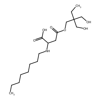 CCCCCCCCNC(CC(=O)OCC(CC)(CO)CO)C(=O)O